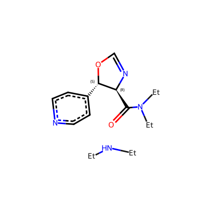 CCN(CC)C(=O)[C@@H]1N=CO[C@H]1c1ccncc1.CCNCC